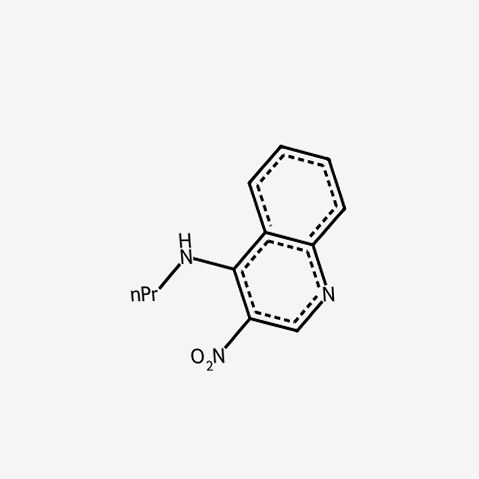 [CH2]CCNc1c([N+](=O)[O-])cnc2ccccc12